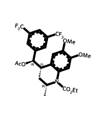 CCOC(=O)N1c2cc(OC)c(OC)cc2[C@@H]([C@@H](OC(C)=O)c2cc(C(F)(F)F)cc(C(F)(F)F)c2)C[C@H]1C